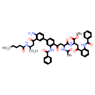 CCCCOC(=O)C(CC(=O)c1ccccc1NC(=O)c1ccccc1)NC(=O)C(CC(=O)c1ccc(-c2ccc(N)c(C(=O)CC(NC(=O)CCCC(=O)O)C(=O)O)c2)cc1NC(=O)c1ccccc1)NC(=O)CCC